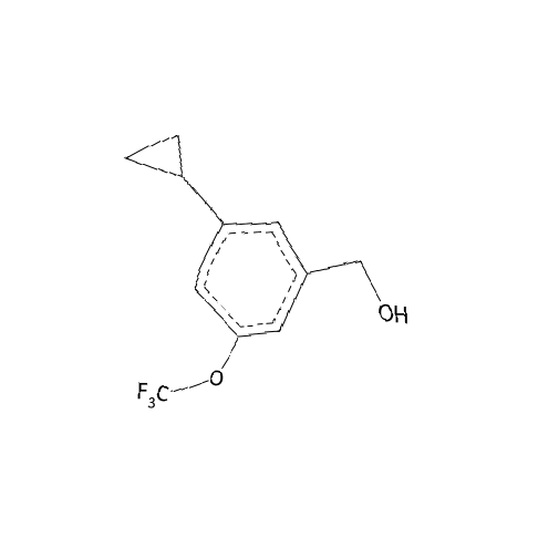 OCc1cc(OC(F)(F)F)cc(C2CC2)c1